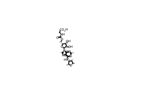 O=C(O)CNC(=O)OC[C@H]1O[C@@H](n2cnc3c(N[C@@H]4CCOC4)ncnc32)[C@H](O)[C@H]1O